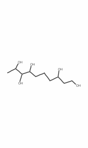 CC(O)C(O)C(O)C[CH]CC(O)CCO